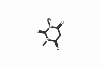 CC(C)N1C(=O)CC(=O)N(C)C1=S